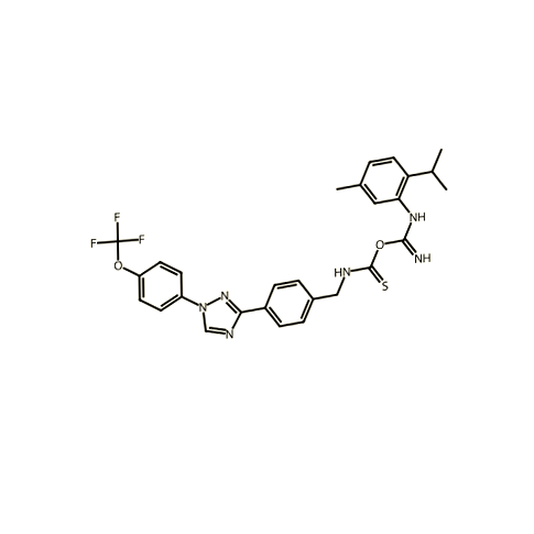 Cc1ccc(C(C)C)c(NC(=N)OC(=S)NCc2ccc(-c3ncn(-c4ccc(OC(F)(F)F)cc4)n3)cc2)c1